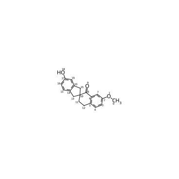 COc1ccc2c(c1)C(=O)C1(CC2)Cc2ccc(O)cc2C1